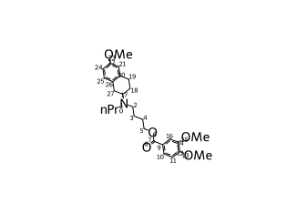 CCCN(CCCCOC(=O)c1ccc(OC)c(OC)c1)C1CCc2cc(OC)ccc2C1